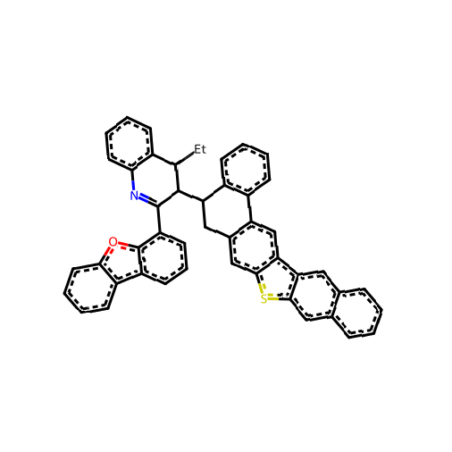 CCC1c2ccccc2N=C(c2cccc3c2oc2ccccc23)C1C1Cc2cc3sc4cc5ccccc5cc4c3cc2-c2ccccc21